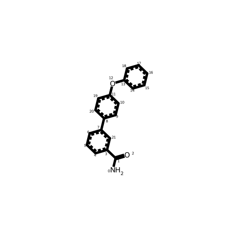 NC(=O)c1cc[c]c(-c2ccc(Oc3ccccc3)cc2)c1